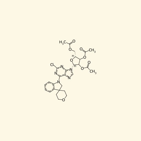 CC(=O)OC[C@H]1O[C@@H](n2cnc3c(N4CC5(CCOCC5)c5ccccc54)nc(Cl)nc32)C(OC(C)=O)C1OC(C)=O